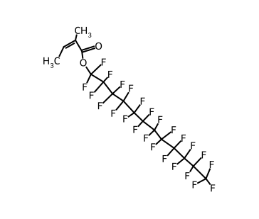 CC=C(C)C(=O)OC(F)(F)C(F)(F)C(F)(F)C(F)(F)C(F)(F)C(F)(F)C(F)(F)C(F)(F)C(F)(F)C(F)(F)C(F)(F)C(F)(F)F